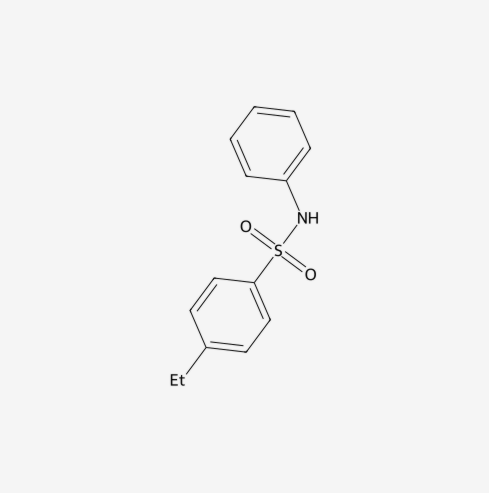 CCc1ccc(S(=O)(=O)Nc2ccccc2)cc1